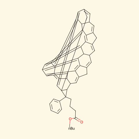 CCCCOC(=O)CCCC1(c2ccccc2)C2C3C=C4CC5=CC6C=C7CC8=CC9C=C%10CC21c1c%10c2c%10c%11c(c8c7c7c%11c8c(c5c4c4c8c%10c1C43)C76)C29